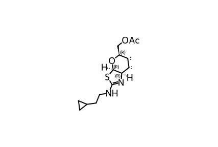 CC(=O)OC[C@H]1[C][C][C@H]2N=C(NCCC3CC3)S[C@H]2O1